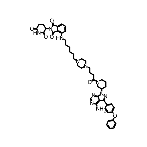 Nc1ncnc2c1c(-c1ccc(Oc3ccccc3)cc1)nn2C1CCCN(C(=O)CCCN2CCN(CCCCCCNc3cccc4c3C(=O)N(C3CCC(=O)NC3=O)C4=O)CC2)C1